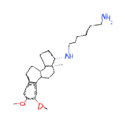 COc1cc2c(cc1OC)C1CC[C@@]3(C)C(CC[C@@H]3NCCCCCCN)C1CC2